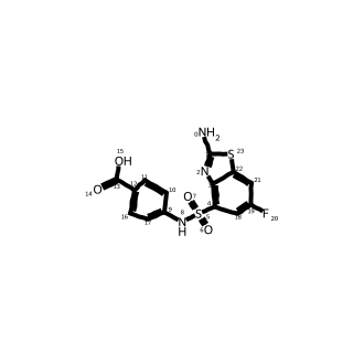 Nc1nc2c(S(=O)(=O)Nc3ccc(C(=O)O)cc3)cc(F)cc2s1